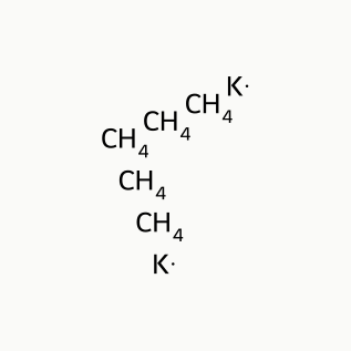 C.C.C.C.C.[K].[K]